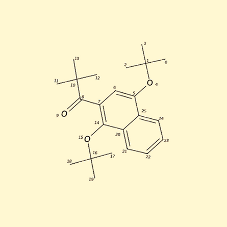 CC(C)(C)Oc1cc(C(=O)C(C)(C)C)c(OC(C)(C)C)c2ccccc12